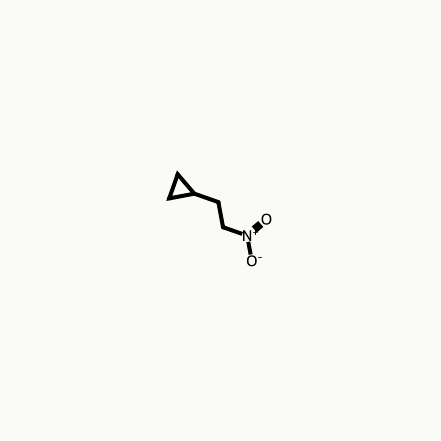 O=[N+]([O-])CCC1CC1